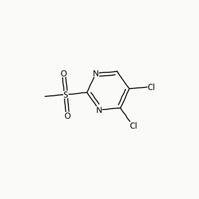 CS(=O)(=O)c1ncc(Cl)c(Cl)n1